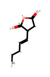 CC(C)CCC=CC1CC(=O)OC1=O